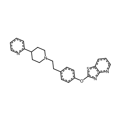 c1ccc(C2CCN(CCc3ccc(Oc4nc5ncccc5s4)cc3)CC2)nc1